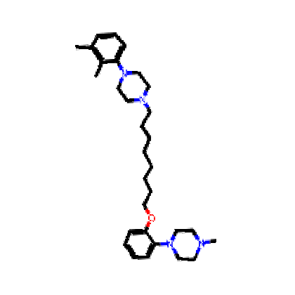 Cc1cccc(N2CCN(CCCCCCCCOc3ccccc3N3CCN(C)CC3)CC2)c1C